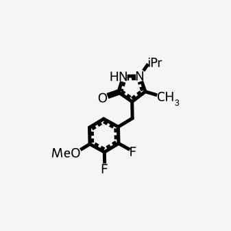 COc1ccc(Cc2c(C)n(C(C)C)[nH]c2=O)c(F)c1F